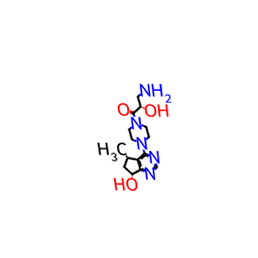 C[C@@H]1C[C@@H](O)c2ncnc(N3CCN(C(=O)[C@@H](O)CN)CC3)c21